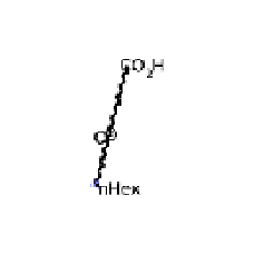 CCCCCC/C=C\CCCCCCCC(=O)OCCCCCCCCCCCCC(=O)O